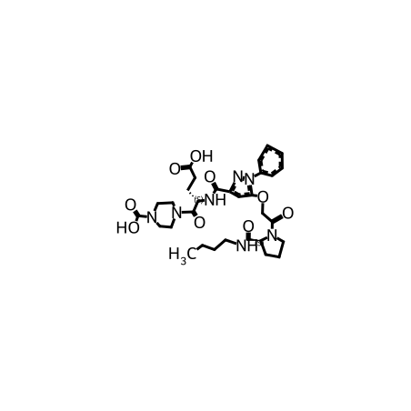 CCCCNC(=O)[C@@H]1CCCN1C(=O)COc1cc(C(=O)N[C@@H](CCC(=O)O)C(=O)N2CCN(C(=O)O)CC2)nn1-c1ccccc1